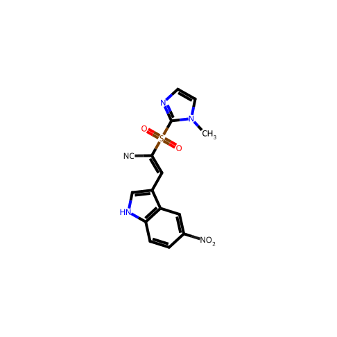 Cn1ccnc1S(=O)(=O)/C(C#N)=C/c1c[nH]c2ccc([N+](=O)[O-])cc12